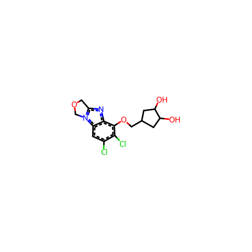 OC1CC(COc2c(Cl)c(Cl)cc3c2nc2n3COC2)CC1O